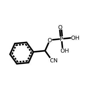 N#CC(OP(=O)(O)O)c1ccccc1